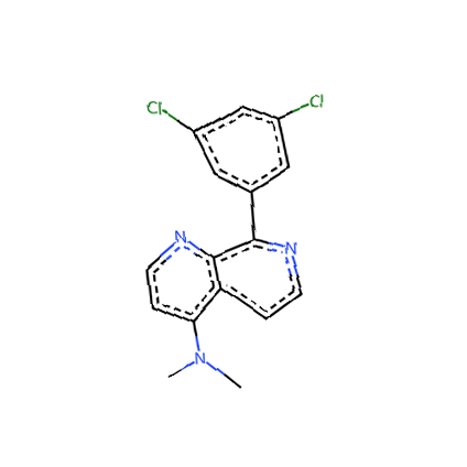 CN(C)c1ccnc2c(-c3cc(Cl)cc(Cl)c3)nccc12